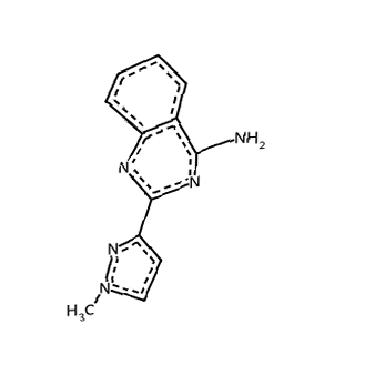 Cn1ccc(-c2nc(N)c3ccccc3n2)n1